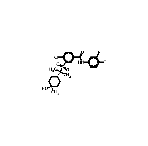 CC(C)([C@H]1CC[C@@](C)(O)CC1)S(=O)(=O)c1cc(C(=O)Nc2ccc(F)c(F)c2)ccc1Cl